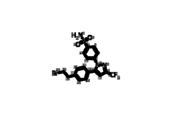 NS(=O)(=O)c1ccc(-n2nc(C(F)(F)F)cc2-c2ccc(CCBr)cc2)cc1